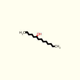 C=CCCCC(O)CCCCCCCC